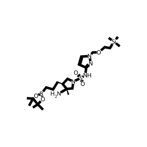 CC1(C)OB(CCC[C@H]2CN(S(=O)(=O)Nc3ccn(COCC[Si](C)(C)C)n3)C[C@]2(C)N)OC1(C)C